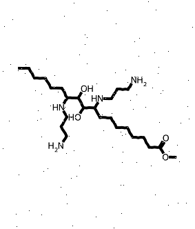 CCCCCCC(NCCCN)C(O)C(O)C(CCCCCCCC(=O)OC)NCCCN